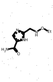 CCONCc1ncc(C(N)=O)[nH]1